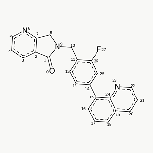 O=C1c2cccnc2CN1Cc1ccc(-c2cccc3cccnc23)cc1F